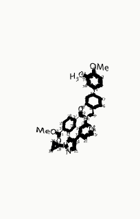 COc1ccc([C@H]2CC[C@H](CN(c3cc(-c4cnn(C5CC5)c4)ccn3)C(=O)[C@H]3CC[C@H](C(=O)OC)CC3)CC2)cc1C